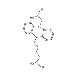 CCCC(O)COCCC(c1ccccc1)c1ccccc1OCC(O)CCC